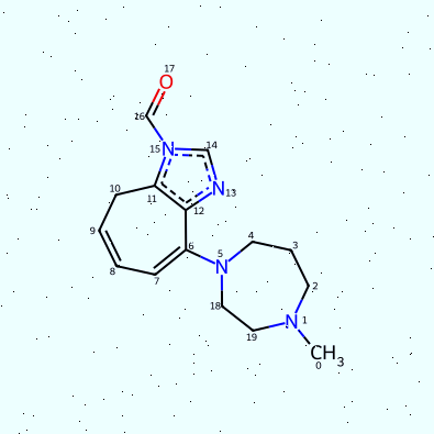 CN1CCCN(C2=CC=CCc3c2ncn3C=O)CC1